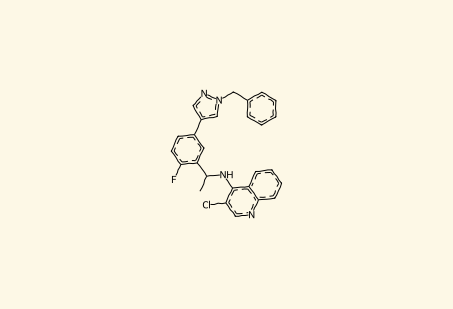 CC(Nc1c(Cl)cnc2ccccc12)c1cc(-c2cnn(Cc3ccccc3)c2)ccc1F